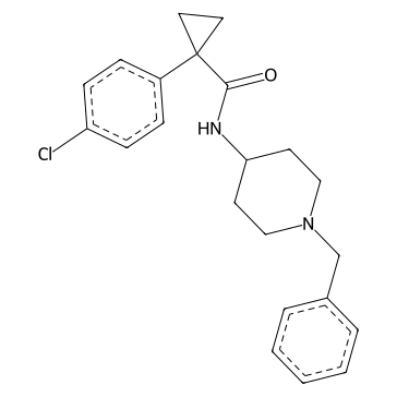 O=C(NC1CCN(Cc2ccccc2)CC1)C1(c2ccc(Cl)cc2)CC1